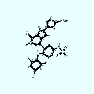 CCS(=O)(=O)Nc1ccc(Oc2c(C)cc(F)cc2C)c(-c2cn(C)c(=O)c3sc(-c4cnc(NC)o4)cc23)c1